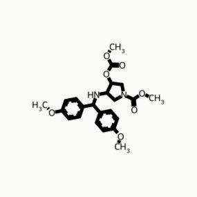 COC(=O)OC1CN(C(=O)OC)CC1NC(c1ccc(OC)cc1)c1ccc(OC)cc1